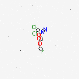 Fc1ccc(COCC2CCCC(OC(Cn3ccnc3)c3ccc(Cl)cc3Cl)O2)cc1